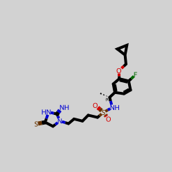 C[C@@H](NS(=O)(=O)CCCCCN1CC(=S)NC1=N)c1ccc(F)c(OCC2CC2)c1